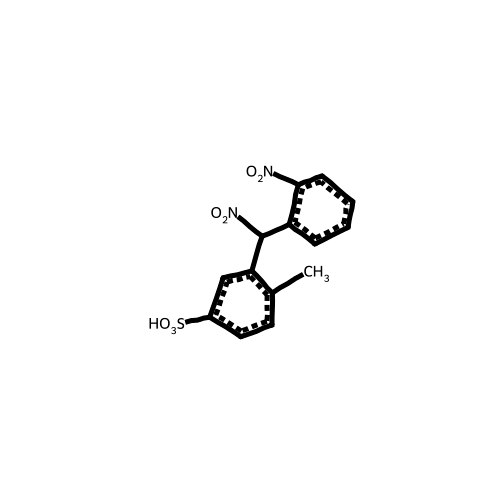 Cc1ccc(S(=O)(=O)O)cc1C(c1ccccc1[N+](=O)[O-])[N+](=O)[O-]